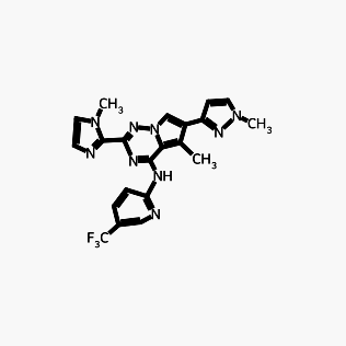 Cc1c(-c2ccn(C)n2)cn2nc(-c3nccn3C)nc(Nc3ccc(C(F)(F)F)cn3)c12